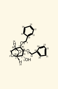 O[C@@H]1[C@@H]2OC[C@@H](O2)[C@@H](OCc2ccccc2)[C@@H]1OCc1ccccc1